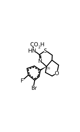 O=C(O)NC1=N[C@@]2(c3ccc(F)c(Br)c3)CCOCC2CS1